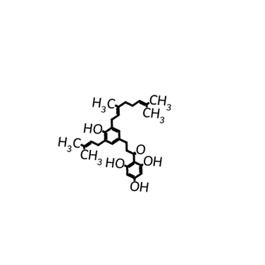 CC(C)=CCC/C(C)=C/Cc1cc(CCC(=O)c2c(O)cc(O)cc2O)cc(CC=C(C)C)c1O